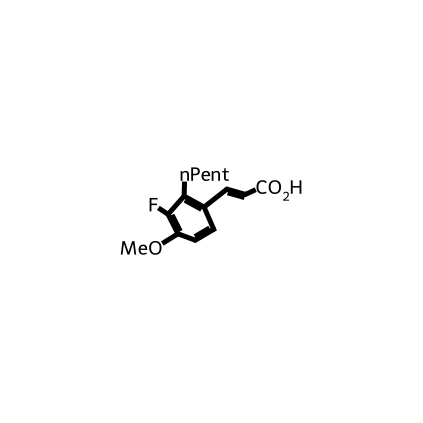 CCCCCc1c(C=CC(=O)O)ccc(OC)c1F